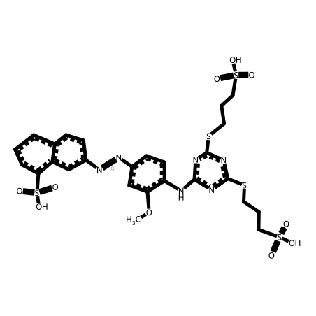 COc1cc(/N=N/c2ccc3cccc(S(=O)(=O)O)c3c2)ccc1Nc1nc(SCCCS(=O)(=O)O)nc(SCCCS(=O)(=O)O)n1